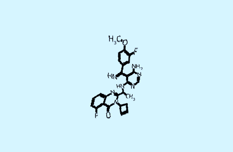 COc1ccc(C(=N)c2c(N)ncnc2NC(C)c2nc3cccc(F)c3c(=O)n2C2CCC2)cc1F